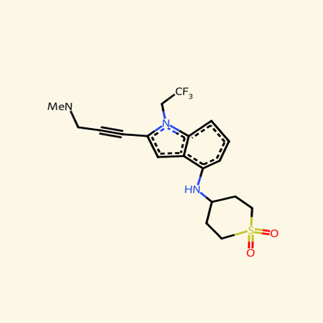 CNCC#Cc1cc2c(NC3CCS(=O)(=O)CC3)cccc2n1CC(F)(F)F